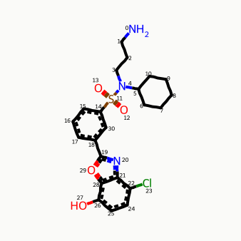 NCCCN(C1CCCCC1)S(=O)(=O)c1cccc(-c2nc3c(Cl)ccc(O)c3o2)c1